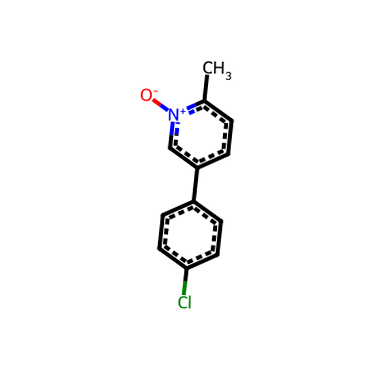 Cc1ccc(-c2ccc(Cl)cc2)c[n+]1[O-]